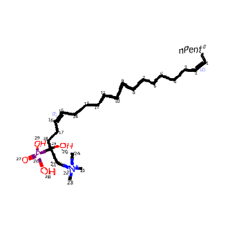 CCCCC/C=C\CCCCCCCCCCCC/C=C\CCC(O)(C[N+](C)(C)C)P(=O)(O)O